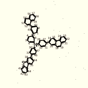 c1cc(-c2cccc(N(c3ccc(-c4ccc5c(ccc6ccccc65)c4)cc3)c3ccc(-c4ccc5c(c4)sc4ccccc45)cc3)c2)cc(-c2cccc3ccccc23)c1